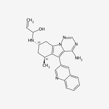 C=CC(O)N[C@@H]1Cc2c(c(-c3cnc4ccccc4c3)c3c(N)ncnn23)[C@@H](C)C1